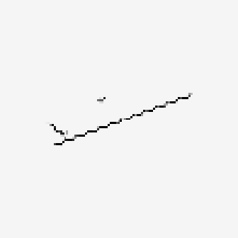 CCCCCCCCCCCCCCCCCCCCCCC(CC)NCCC.Cl